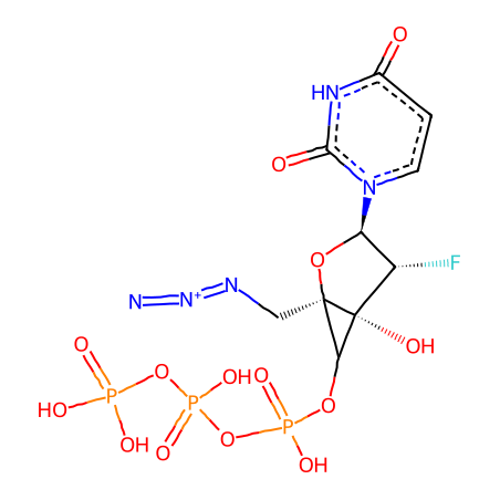 [N-]=[N+]=NC[C@]12O[C@@H](n3ccc(=O)[nH]c3=O)[C@H](F)[C@@]1(O)C2OP(=O)(O)OP(=O)(O)OP(=O)(O)O